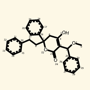 COC(C1=C(O)CC(CCc2ccccc2)(c2ccccc2)OC1=O)c1ccccc1